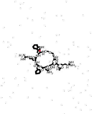 CC(=O)N[C@@H](CCCNC(=N)N)C(=O)N[C@H]1CC(=O)NCCOCCNC(=O)[C@H](Cc2c[nH]c3ccccc23)NC(=O)[C@H](CCCNC(=N)N)NC(=O)[C@@H](Cc2ccccc2)NC(=O)[C@H](CC(N)=O)NC1=O